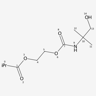 CC(C)C(=O)OCCOC(=O)NC(C)(C)CO